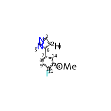 [2H]c1cnn(C)c1-c1ccc(F)c(OC)c1